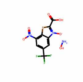 NO.O=C(O)c1sc2c([N+](=O)[O-])cc(C(F)(F)F)cc2[n+]1[O-]